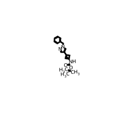 CC(C)(C)OC(=O)NC12CC(c3cnn(Cc4ccccc4)c3)(C1)C2